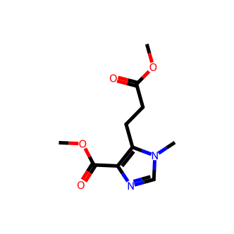 COC(=O)CCc1c(C(=O)OC)ncn1C